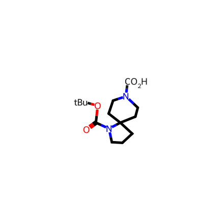 CC(C)(C)OC(=O)N1CCCC12CCN(C(=O)O)CC2